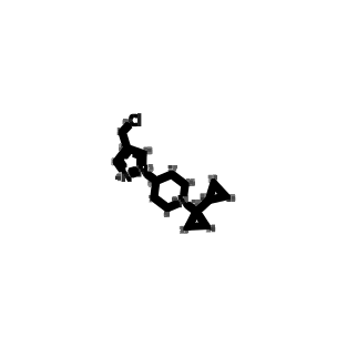 ClCc1cnn(C2CCN(C3(C4CC4)CC3)CC2)c1